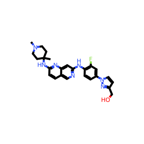 CN1CCC(C)(Nc2ccc3cnc(Nc4ccc(-n5ccc(CO)n5)cc4F)cc3n2)CC1